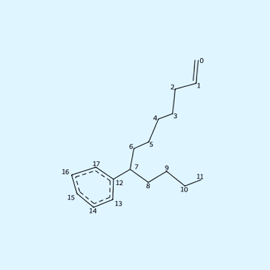 C=CCCCCCC(CCCC)c1ccccc1